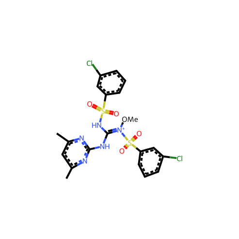 CO[N+](=C(Nc1nc(C)cc(C)n1)NS(=O)(=O)c1cccc(Cl)c1)S(=O)(=O)c1cccc(Cl)c1